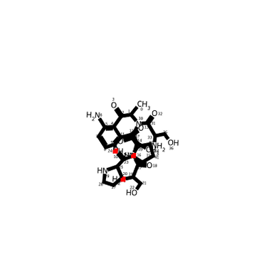 CC(C(=O)c1c(N)ccc(N)c1C(=O)C(C)N(C(=O)C(N)CO)C(=O)C1CCCN1)N(C(=O)C(N)CO)C(=O)C1CCCN1